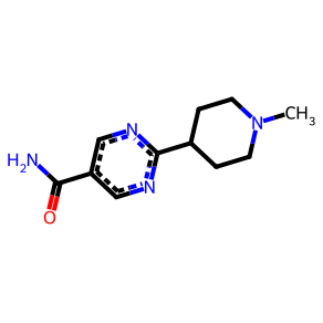 CN1CCC(c2ncc(C(N)=O)cn2)CC1